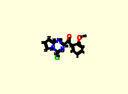 COc1ccccc1C(=O)c1nc(Cl)n2cccc2n1